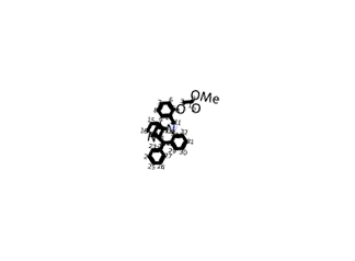 COC(=O)COc1ccccc1/C=N\C1C2CCN(CC2)C1C(c1ccccc1)c1ccccc1